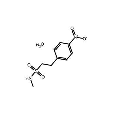 CNS(=O)(=O)CCc1ccc([N+](=O)[O-])cc1.O